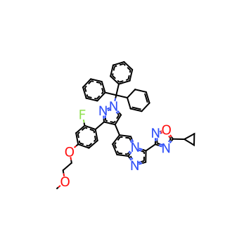 COCCOc1ccc(-c2nn(C(c3ccccc3)(c3ccccc3)C3C=CC=CC3)cc2-c2ccc3ncc(-c4noc(C5CC5)n4)n3c2)c(F)c1